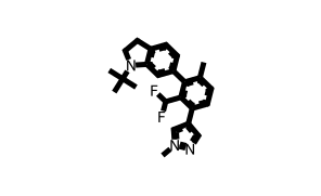 Cc1ccc(-c2cnn(C)c2)c(C(F)F)c1-c1ccc2c(c1)N(C(C)(C)C)CC2